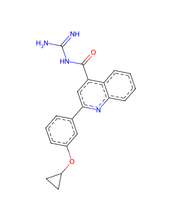 N=C(N)NC(=O)c1cc(-c2cccc(OC3CC3)c2)nc2ccccc12